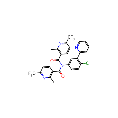 Cc1nc(C(F)(F)F)ccc1C(=O)N(C(=O)c1ccc(C(F)(F)F)nc1C)c1ccc(Cl)c(-c2ccccn2)c1